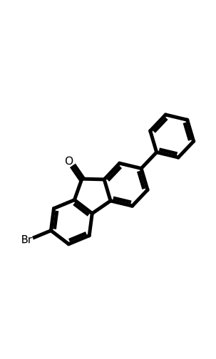 O=C1c2cc(Br)ccc2-c2ccc(-c3ccccc3)cc21